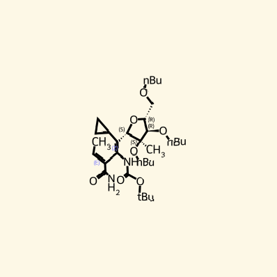 C/C=C(C(N)=O)\C(NC(=O)OC(C)(C)C)=C(/C1CC1)[C@@H]1O[C@H](COCCCC)[C@@H](OCCCC)[C@@]1(C)OCCCC